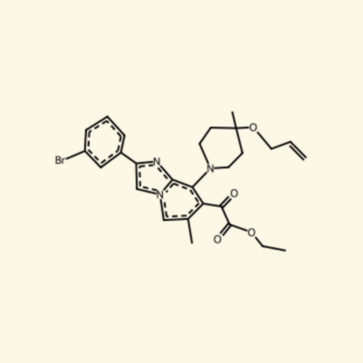 C=CCOC1(C)CCN(c2c(C(=O)C(=O)OCC)c(C)cn3cc(-c4cccc(Br)c4)nc23)CC1